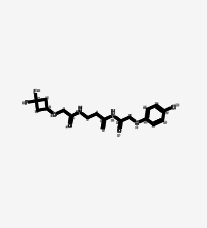 C=C(CCNC(=O)COC1CC(F)(F)C1)NC(=O)COc1ccc(Cl)cc1